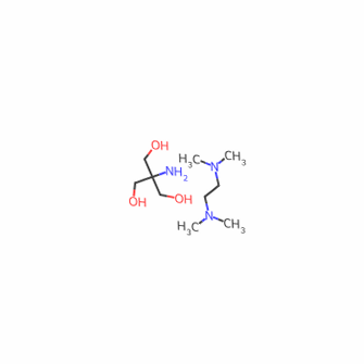 CN(C)CCN(C)C.NC(CO)(CO)CO